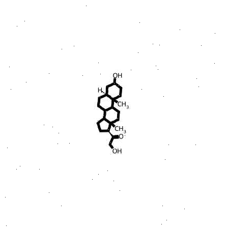 CC12CCC(O)C[C@@H]1CCC1C2CCC2(C)C1CC[C@@H]2C(=O)CO